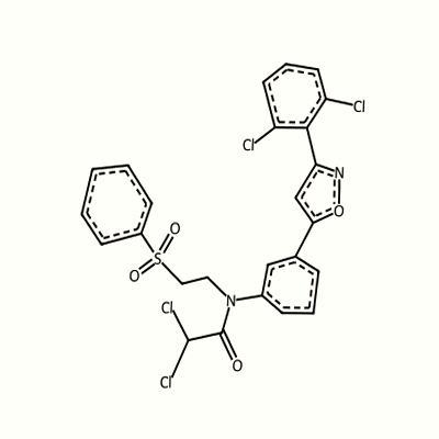 O=C(C(Cl)Cl)N(CCS(=O)(=O)c1ccccc1)c1cccc(-c2cc(-c3c(Cl)cccc3Cl)no2)c1